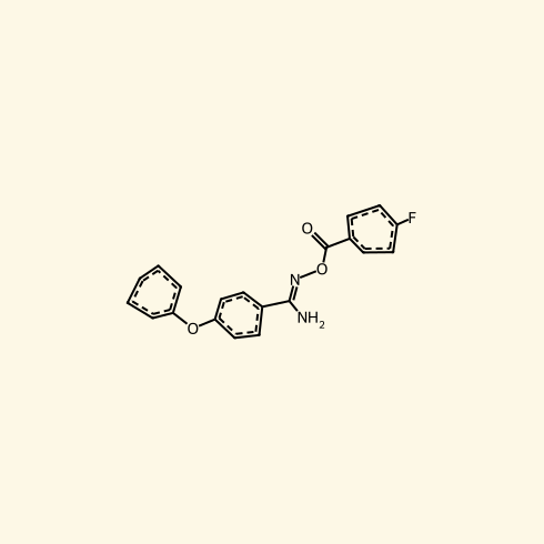 NC(=NOC(=O)c1ccc(F)cc1)c1ccc(Oc2ccccc2)cc1